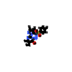 CCc1c(C)nc(-n2nc(C)c(C)c2NS(=O)(=O)c2ccc(C)cc2)[nH]c1=O